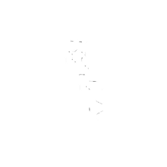 CS(=O)(=O)c1n[nH]c(NC(=O)C2=CSC(c3ccc4c(c3)CCO4)N2)n1